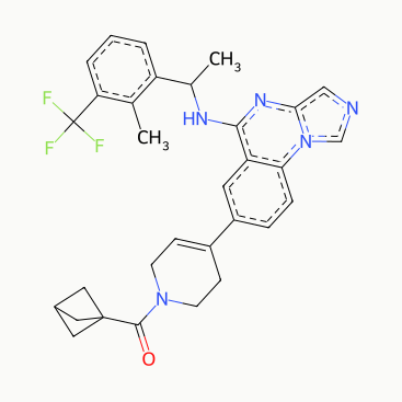 Cc1c(C(C)Nc2nc3cncn3c3ccc(C4=CCN(C(=O)C56CC(C5)C6)CC4)cc23)cccc1C(F)(F)F